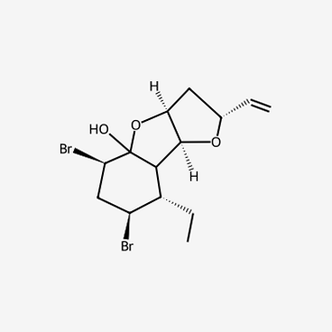 C=C[C@H]1C[C@@H]2OC3(O)C([C@H](CC)[C@@H](Br)C[C@H]3Br)[C@@H]2O1